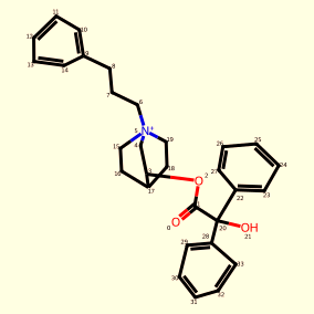 O=C(OC1C[N+]2(CCCc3ccccc3)CCC1CC2)C(O)(c1ccccc1)c1ccccc1